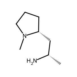 C[C@H](N)C[C@H]1CCCN1C